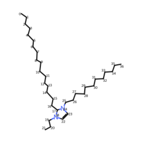 CCCCCCCCCCCCCCCCCC1N(CCC)C=CN1CCCCCCCCCCCC